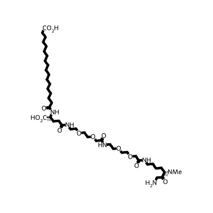 CN[C@@H](CCCCNC(=O)COCCOCCNC(=O)COCCOCCNC(=O)CC[C@H](NC(=O)CCCCCCCCCCCCCCCCC(=O)O)C(=O)O)C(=O)CN